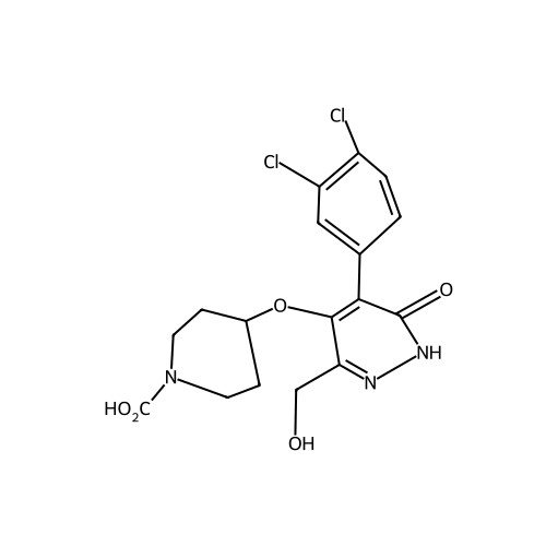 O=C(O)N1CCC(Oc2c(CO)n[nH]c(=O)c2-c2ccc(Cl)c(Cl)c2)CC1